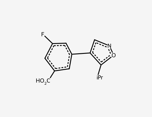 CC(C)c1oncc1-c1cc(F)cc(C(=O)O)c1